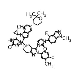 Cc1cc(-n2nc3c(c2-n2ccn(-c4ccc5c(cnn5C)c4F)c2=O)CN(C(=O)c2cc4cc([C@H]5CCOC(C)(C)C5)ccc4n2[C@@]2(c4noc(=O)[nH]4)C[C@@H]2C)CC3)ccc1F